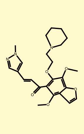 COc1c(C(=O)C=Cc2cnn(C)c2)c(OCCN2CCCCC2)c(OC)c2occc12